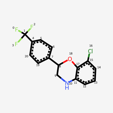 FC(F)(F)c1ccc(C2CNc3cccc(Cl)c3O2)cc1